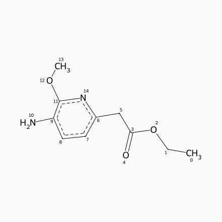 CCOC(=O)Cc1ccc(N)c(OC)n1